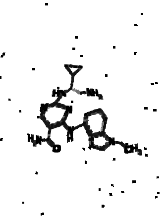 CCn1ccc2c(Nc3nc(N[C@@H](CN)C4CC4)ncc3C(N)=O)cccc21